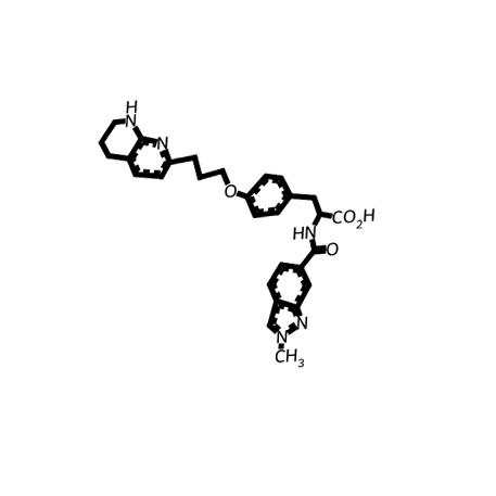 Cn1cc2ccc(C(=O)NC(Cc3ccc(OCCCc4ccc5c(n4)NCCC5)cc3)C(=O)O)cc2n1